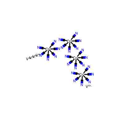 N#[C][Cr-5]([C]#N)([C]#N)([C]#N)([C]#N)[C]#N.N#[C][Cr-5]([C]#N)([C]#N)([C]#N)([C]#N)[C]#N.N#[C][Cr-5]([C]#N)([C]#N)([C]#N)([C]#N)[C]#N.N#[C][Cr-5]([C]#N)([C]#N)([C]#N)([C]#N)[C]#N.[V+4].[V+4].[V+4].[V+4].[V+4]